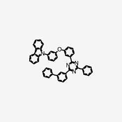 c1ccc(-c2cccc(-c3nc(-c4ccccc4)nc(-c4cccc(Oc5cccc(-n6c7ccccc7c7ccccc76)c5)c4)n3)c2)cc1